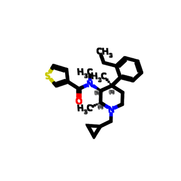 CCc1ccccc1[C@@]1(C)CCN(CC2CC2)[C@H](C)[C@H]1N(C)C(=O)c1ccsc1